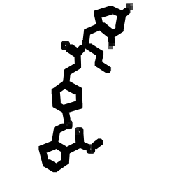 CCCN(Cc1ccc(F)cc1F)C(=O)CCc1ccc(OCc2ccccc2C(=O)OC)cc1